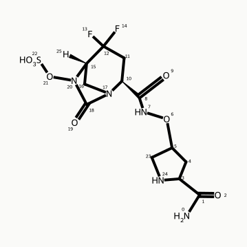 NC(=O)C1CC(ONC(=O)[C@@H]2CC(F)(F)[C@@H]3CN2C(=O)N3OS(=O)(=O)O)CN1